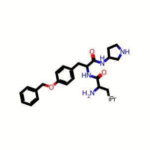 CC(C)CC(N)C(=O)NC(Cc1ccc(OCc2ccccc2)cc1)C(=O)NC1CCNC1